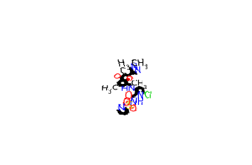 Cc1cc(C(C)Nc2ccc(Cl)nc2C(=O)NS(=O)(=O)c2ccccn2)c2oc(-c3cnn(C)c3)c(C)c(=O)c2c1